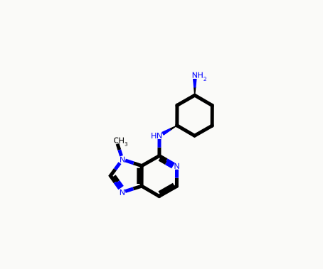 Cn1cnc2ccnc(N[C@@H]3CCC[C@H](N)C3)c21